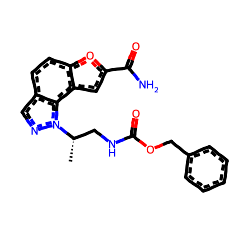 C[C@@H](CNC(=O)OCc1ccccc1)n1ncc2ccc3oc(C(N)=O)cc3c21